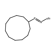 CCC/N=P/C1CCCCCCCCCC1